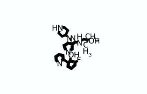 CC(C)(O)CNc1nn(C2CCNCC2)c2ccncc12.Oc1c(F)cccc1-c1ccccn1